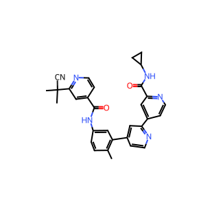 Cc1ccc(NC(=O)c2ccnc(C(C)(C)C#N)c2)cc1-c1ccnc(-c2ccnc(C(=O)NC3CC3)c2)c1